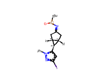 CC(C)n1nc(I)cc1[C@H]1[C@@H]2C/C(=N\[S+]([O-])C(C)(C)C)C[C@@H]21